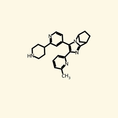 Cc1cccc(-c2nc3n(c2-c2ccnc(C4CCNCC4)c2)C2CCC3C2)n1